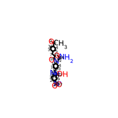 CC(=O)c1ccc(/C=C/C(=O)N(CC(N)=O)c2ccc(-c3nc4ccc([N+](=O)[O-])cc4n3O)cc2)cc1